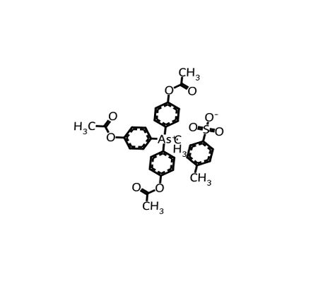 CC(=O)Oc1ccc([As+](C)(c2ccc(OC(C)=O)cc2)c2ccc(OC(C)=O)cc2)cc1.Cc1ccc(S(=O)(=O)[O-])cc1